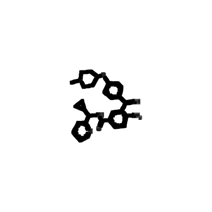 CN1CCC(Oc2ccc(C(=N)c3cc(C(=O)NC(c4ccccn4)C4CC4)ccc3N)cc2)CC1